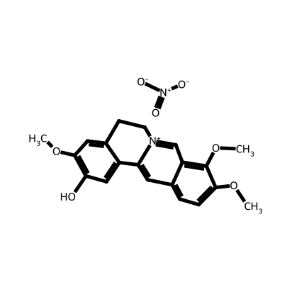 COc1cc2c(cc1O)-c1cc3ccc(OC)c(OC)c3c[n+]1CC2.O=[N+]([O-])[O-]